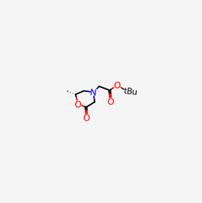 C[C@@H]1CN(CC(=O)OC(C)(C)C)CC(=O)O1